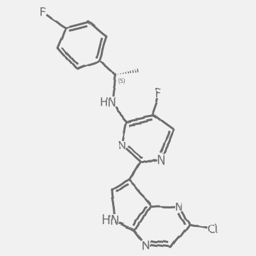 C[C@H](Nc1nc(-c2c[nH]c3ncc(Cl)nc23)ncc1F)c1ccc(F)cc1